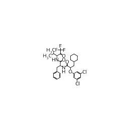 CC(C)[C@H](NC(=O)C(Cc1ccccc1)NC(=O)C(CC1CCCCC1)Oc1cc(Cl)cc(Cl)c1)C(=O)C(F)(F)F